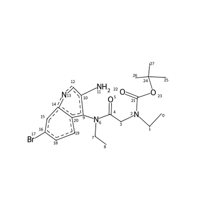 CCN(CC(=O)N(CC)c1c(N)cnc2cc(Br)ccc12)C(=O)OC(C)(C)C